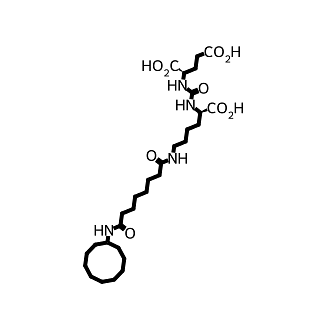 O=C(O)CC[C@H](NC(=O)N[C@H](CCCCNC(=O)CCCCCCC(=O)NC1CCCCCCCCC1)C(=O)O)C(=O)O